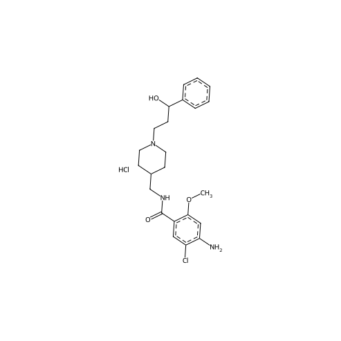 COc1cc(N)c(Cl)cc1C(=O)NCC1CCN(CCC(O)c2ccccc2)CC1.Cl